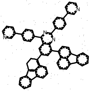 c1cncc(-c2ccc(-c3nc(-c4ccc(-c5cccnc5)cc4)c4cc(C5=c6cccc7c6=C(CC5)c5ccccc5-7)cc(-c5ccc6c7c(cccc57)-c5ccccc5-6)c4n3)cc2)c1